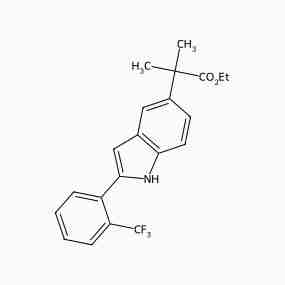 CCOC(=O)C(C)(C)c1ccc2[nH]c(-c3ccccc3C(F)(F)F)cc2c1